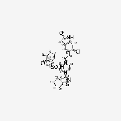 CC12CCC(C(S(=O)(=O)O)C1=O)C2(C)C.O=C1Cc2cc(CCN3CCN(c4nsc5ccccc45)CC3)c(Cl)cc2N1